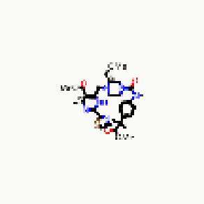 COC[C@H]1CN(C(=O)N(C)c2ccc(C(C)(C)C(=O)OC)cc2)CCN1CC1=C(C(=O)OC)[C@H](C)N=C(c2nccs2)N1